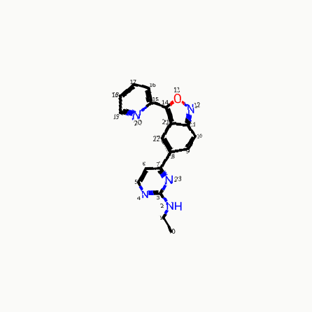 CCNc1nccc(-c2ccc3noc(-c4ccccn4)c3c2)n1